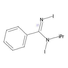 CC(C)N(I)/C(=N\I)c1ccccc1